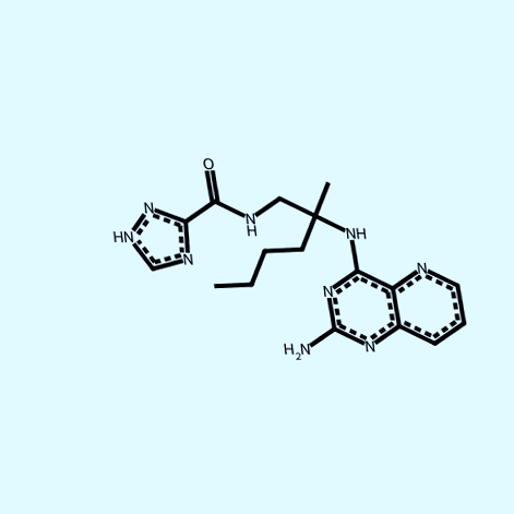 CCCCC(C)(CNC(=O)c1nc[nH]n1)Nc1nc(N)nc2cccnc12